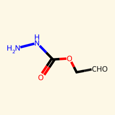 NNC(=O)OCC=O